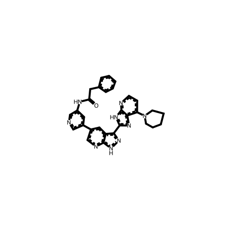 O=C(Cc1ccccc1)Nc1cncc(-c2cnc3[nH]nc(-c4nc5c(N6CCCCC6)ccnc5[nH]4)c3c2)c1